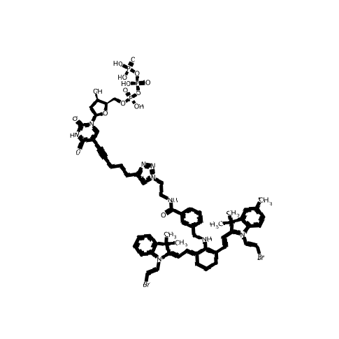 Cc1ccc2c(c1)C(C)(C)C(/C=C/C1=C(NCc3cccc(C(=O)NCCn4cc(CCCC#Cc5cn(C6C[C@@H](O)[C@@H](COP(=O)(O)OP(=O)(O)OP(=O)(O)O)O6)c(=O)[nH]c5=O)nn4)c3)C(=C/C=C3/N(/C=C/Br)c4ccccc4C3(C)C)/CCC1)=[N+]2/C=C/Br